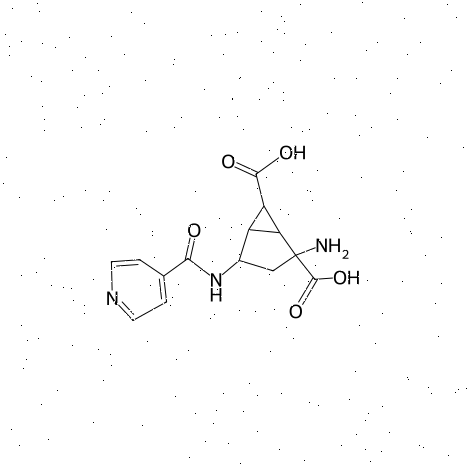 NC1(C(=O)O)CC(NC(=O)c2ccncc2)C2C(C(=O)O)C21